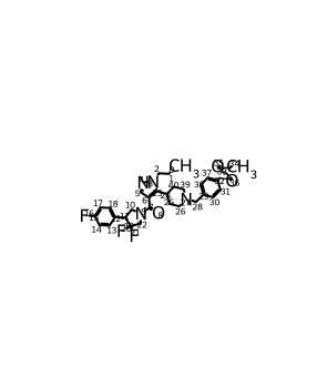 CCCn1ncc(C(=O)N2CC(c3ccc(F)cc3)C(F)(F)C2)c1C1CCN(Cc2ccc(S(C)(=O)=O)cc2)CC1